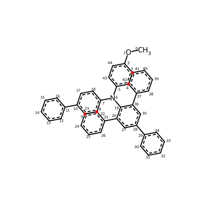 COc1ccc(N(c2ccc(-c3ccccc3)cc2)c2c(-c3ccccc3)cc(-c3ccccc3)cc2-c2ccccc2)cc1